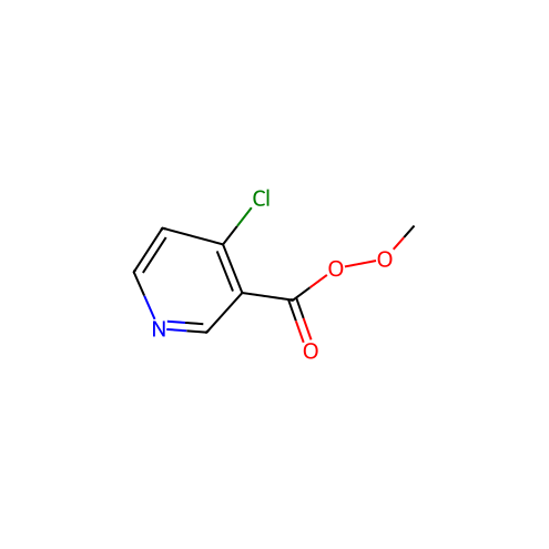 COOC(=O)c1cnccc1Cl